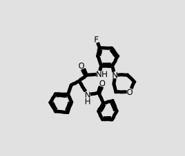 O=C(NC(Cc1ccccc1)C(=O)Nc1cc(F)ccc1N1CCOCC1)c1ccccc1